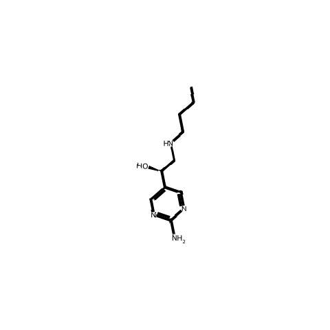 CCCCNC[C@H](O)c1cnc(N)nc1